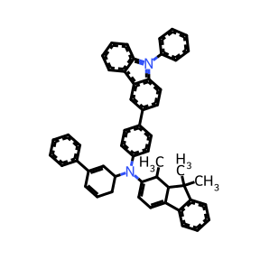 CC1C(N(c2ccc(-c3ccc4c(c3)c3ccccc3n4-c3ccccc3)cc2)C2C=C(c3ccccc3)C=CC2)=CC=C2c3ccccc3C(C)(C)C21